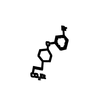 CCOC(=O)/C=C/C1CCC(Oc2cccc(Br)c2)CC1